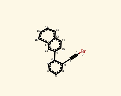 BrC#Cc1ccccc1-c1ccc2ccccc2c1